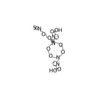 O=C(O)c1cccc(CN2CCOCCOCCN(N(COCCOCCN=C=S)c3cccc(C(=O)O)n3)CCOCCOCC2)n1